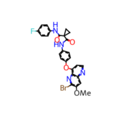 COc1cc2nccc(Oc3ccc(NC(=O)C4(C(=O)Nc5ccc(F)cc5)CC4)cc3)c2nc1Br